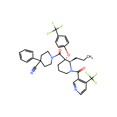 CCC[C@H]1N(C(=O)c2cnccc2C(F)(F)F)CCC[C@@]1(Oc1ccc(C(F)(F)F)cc1)C(=O)N1CCC(C#N)(c2ccccc2)CC1